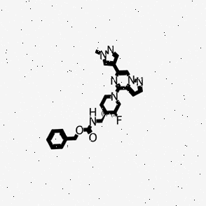 Cn1cc(-c2cn3nccc3c(N3CC[C@H](CNC(=O)OCc4ccccc4)[C@H](F)C3)n2)cn1